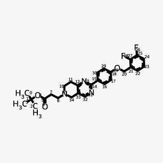 CC(C)(C)OC(=O)CCN1CCc2nc(-c3ccc(OCc4cccc(F)c4F)cc3)ncc2C1